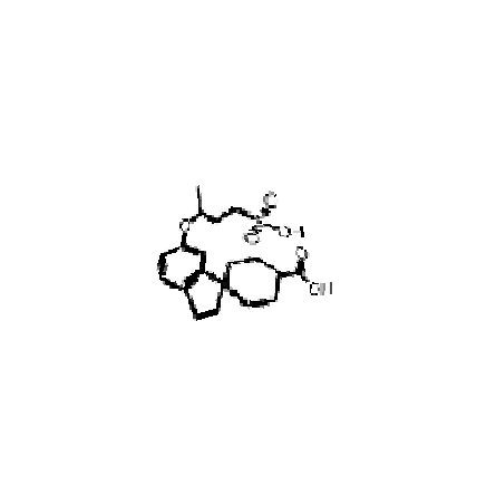 CC(CCS(=O)(=O)O)Oc1ccc2c(c1)C1(CC2)CCC(C(=O)O)CC1